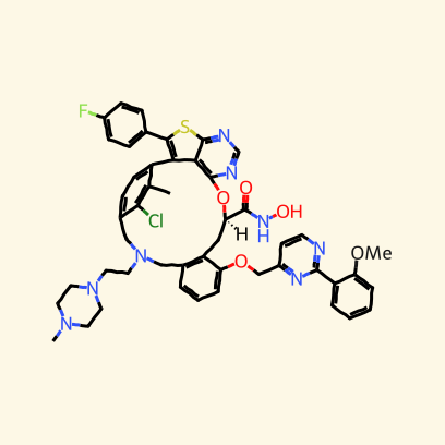 COc1ccccc1-c1nccc(COc2cccc3c2C[C@H](C(=O)NO)Oc2ncnc4sc(-c5ccc(F)cc5)c(c24)-c2ccc(c(Cl)c2C)CN(CCN2CCN(C)CC2)C3)n1